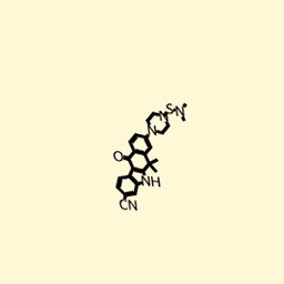 CN(C)SN1CCN(c2ccc3c(c2)C(C)(C)c2[nH]c4cc(C#N)ccc4c2C3=O)CC1